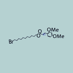 COc1ccc(/C=C/C(=O)OCCCCCCCCCCCBr)c(OC)c1